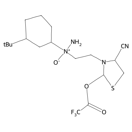 CC(C)(C)C1CCCC([N+](N)([O-])CCN2C(C#N)CSC2OC(=O)C(F)(F)F)C1